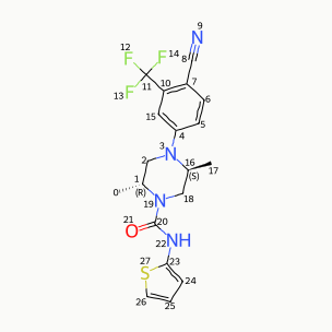 C[C@@H]1CN(c2ccc(C#N)c(C(F)(F)F)c2)[C@@H](C)CN1C(=O)Nc1cccs1